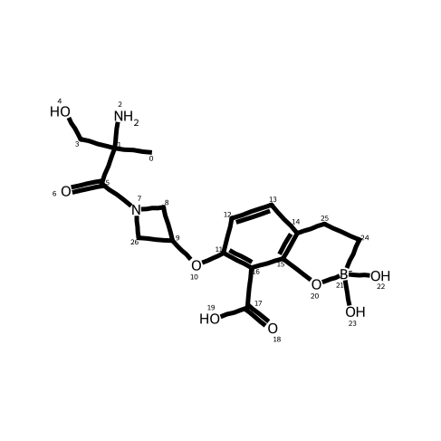 CC(N)(CO)C(=O)N1CC(Oc2ccc3c(c2C(=O)O)O[B-](O)(O)CC3)C1